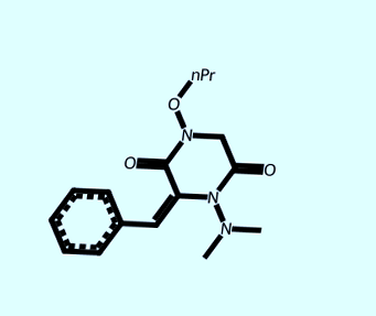 CCCON1CC(=O)N(N(C)C)C(=Cc2ccccc2)C1=O